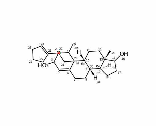 CC1CC(O)C=C2CC[C@@H]3[C@@H](CC[C@]4(C)C(O)CC[C@@H]34)[C@]21COC1=CCCC1